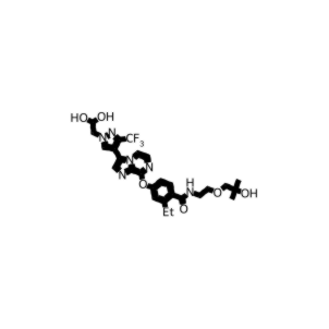 CCc1cc(Oc2nccn3c(-c4cn(CC(O)O)nc4C(F)(F)F)cnc23)ccc1C(=O)NCCOCC(C)(C)O